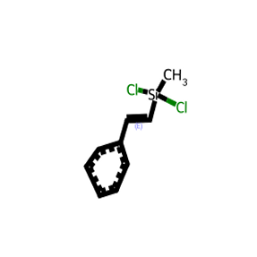 C[Si](Cl)(Cl)/C=C/c1ccccc1